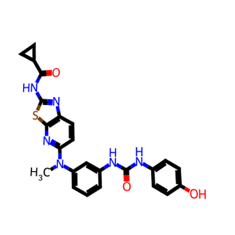 CN(c1cccc(NC(=O)Nc2ccc(O)cc2)c1)c1ccc2nc(NC(=O)C3CC3)sc2n1